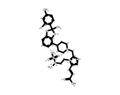 Cc1ccc(C2(C)Oc3cccc(C4CCN(Cc5ncc(/C=C/C(=O)O)n5CCN(C)S(C)(=O)=O)CC4)c3O2)c(F)c1